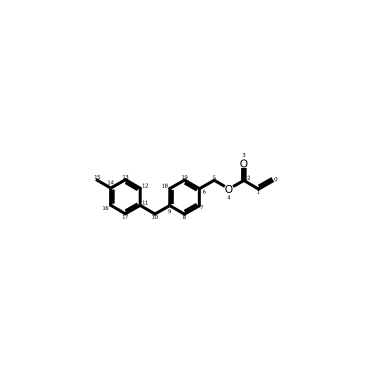 C=CC(=O)OCc1ccc(Cc2ccc(C)cc2)cc1